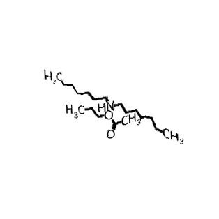 CCCCCCCNCCCCCCC.CCCOC(C)=O